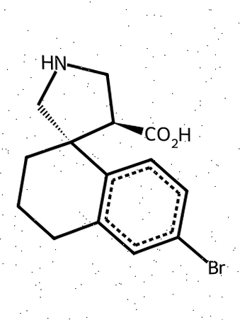 O=C(O)[C@@H]1CNC[C@]12CCCc1cc(Br)ccc12